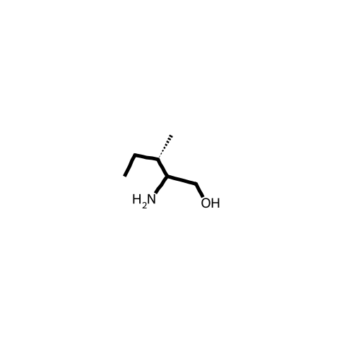 CC[C@H](C)C(N)CO